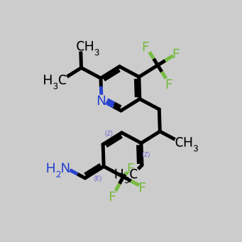 C\C=C(/C=C\C(=C/N)C(F)(F)F)C(C)Cc1cnc(C(C)C)cc1C(F)(F)F